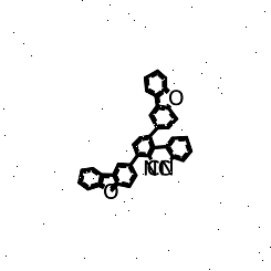 N#Cc1ccccc1-c1c(-c2ccc3oc4ccccc4c3c2)ccc(-c2ccc3oc4ccccc4c3c2)c1C#N